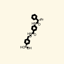 CC(C)[C@H](C(=O)Nc1ccc(C(=O)NOCc2ccc(B(O)O)cc2)cc1)c1ccccc1